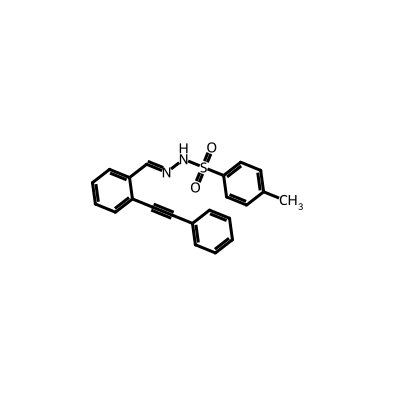 Cc1ccc(S(=O)(=O)N/N=C/c2ccccc2C#Cc2ccccc2)cc1